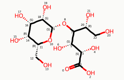 O=C(O)[C@@H](O)[C@H](O)C(O[C@@H]1O[C@H](CO)[C@H](O)[C@H](O)[C@@H]1O)[C@H](O)CO